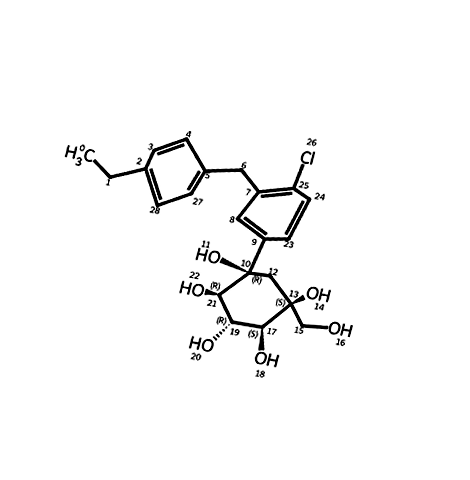 CCc1ccc(Cc2cc([C@]3(O)C[C@](O)(CO)[C@@H](O)[C@H](O)[C@H]3O)ccc2Cl)cc1